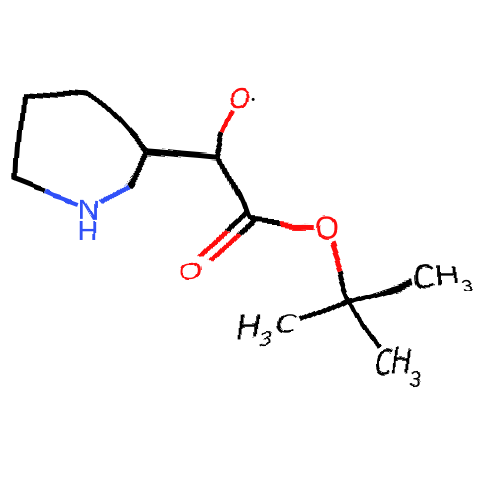 CC(C)(C)OC(=O)C([O])C1CCCN1